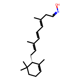 CC1=CCCC(C)(C)[C@@H]1C/C=C(C)/C=C/C=C(\C)C/C=N\O